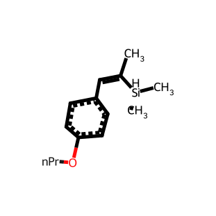 CCCOc1ccc(C=C(C)[SiH](C)C)cc1